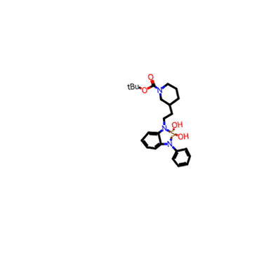 CC(C)(C)OC(=O)N1CCCC(CCN2c3ccccc3N(c3ccccc3)S2(O)O)C1